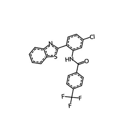 O=C(Nc1cc(Cl)ccc1-c1nc2ccccc2s1)c1ccc(C(F)(F)F)cc1